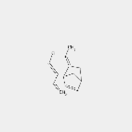 C=CC=CCl.CC=C1CC2C=CC1C2